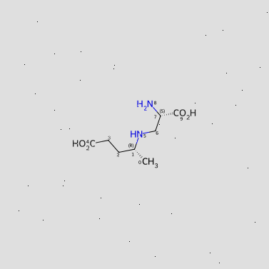 C[C@H](CCC(=O)O)NC[C@H](N)C(=O)O